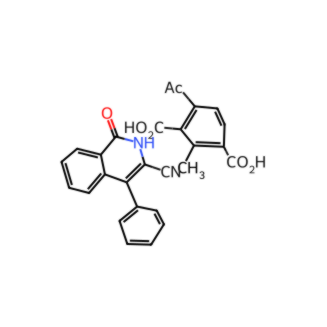 CC(=O)c1ccc(C(=O)O)c(C)c1C(=O)O.N#Cc1[nH]c(=O)c2ccccc2c1-c1ccccc1